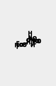 CC1(C(=O)Nc2c[nH]c3ccc(CCOc4ccc(C(F)(F)F)cc4)cc23)CCOCC1